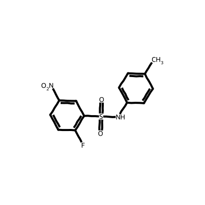 Cc1ccc(NS(=O)(=O)c2cc([N+](=O)[O-])ccc2F)cc1